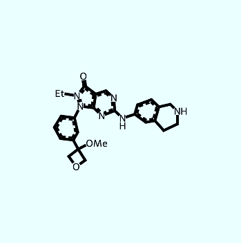 CCn1c(=O)c2cnc(Nc3ccc4c(c3)CCNC4)nc2n1-c1cccc(C2(OC)COC2)c1